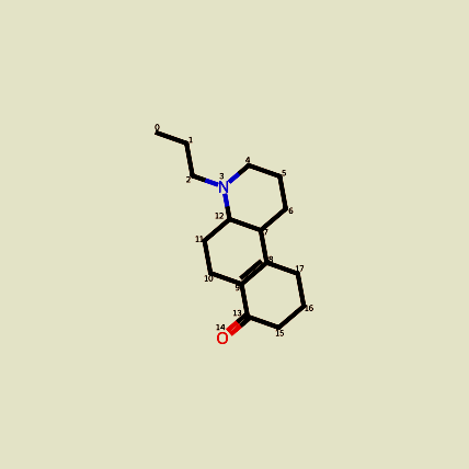 CCCN1CCCC2C3=C(CCC21)C(=O)CCC3